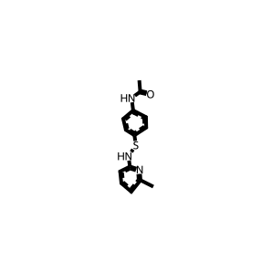 CC(=O)Nc1ccc(SNc2cccc(C)n2)cc1